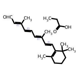 CC1=C(/C=C/C(C)=C/C=C/C(C)=C/C=O)C(C)(C)CCC1.CCC(=O)O